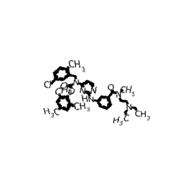 CCN(CC)CCN(C)C(=O)c1cccc(Nc2nccc(N(Cc3cc(Cl)ccc3C)C(=O)Oc3c(C)cc(C)cc3C)n2)c1